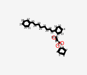 O=C(Oc1ccccc1)[C@@H]1O[C@@H]1c1ccccc1CCCCCCCCc1ccccc1